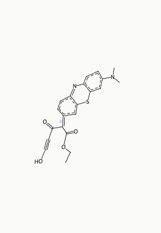 CCOC(=O)/C(C(=O)C#CO)=c1/ccc2c(c1)Sc1cc(N(C)C)ccc1N=2